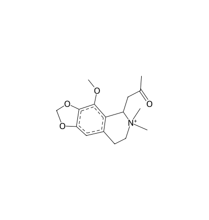 COc1c2c(cc3c1C(CC(C)=O)[N+](C)(C)CC3)OCO2